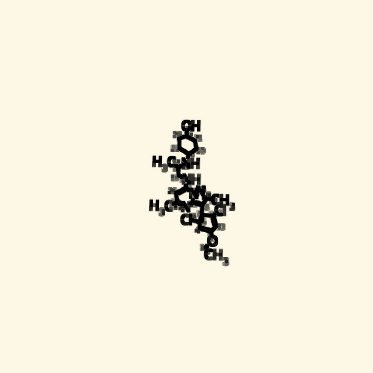 CCOc1cc(Cl)c(-c2c(C)nn3c(NCC(C)NC4CCC(O)CC4)cc(C)nc23)c(Cl)c1